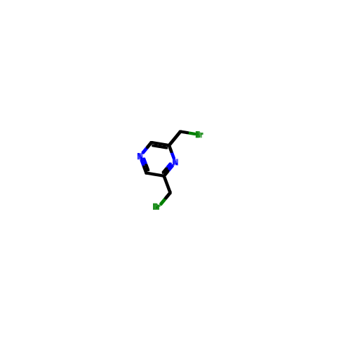 BrCc1cncc(CBr)n1